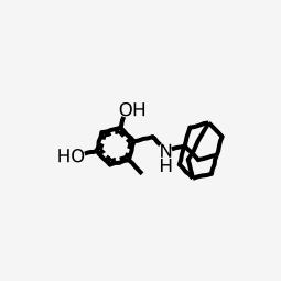 Cc1cc(O)cc(O)c1CNC12CC3CC(CC(C3)C1)C2